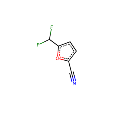 N#Cc1ccc(C(F)F)o1